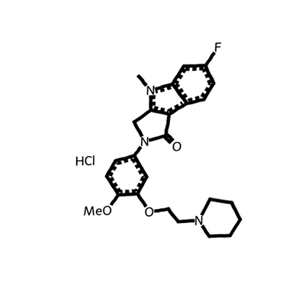 COc1ccc(N2Cc3c(c4ccc(F)cc4n3C)C2=O)cc1OCCN1CCCCC1.Cl